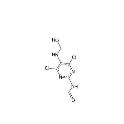 O=CNc1nc(Cl)c(NCO)c(Cl)n1